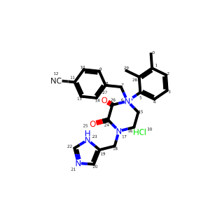 Cc1cccc([N+]2(Cc3ccc(C#N)cc3)CCN(Cc3cnc[nH]3)C(=O)C2=O)c1C.Cl